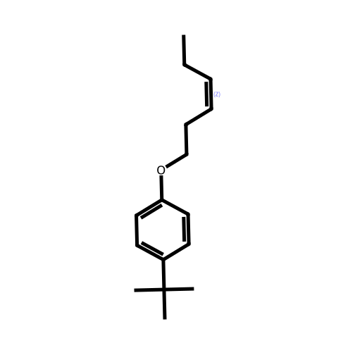 CC/C=C\CCOc1ccc(C(C)(C)C)cc1